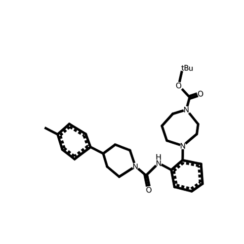 Cc1ccc(C2CCN(C(=O)Nc3ccccc3N3CCCN(C(=O)OC(C)(C)C)CC3)CC2)cc1